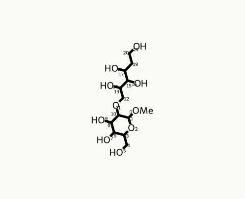 COC1OC(CO)C(O)C(O)C1OCC(O)C(O)C(O)CCO